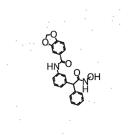 O=C(Nc1cccc(C(C(=O)NO)c2ccccc2)c1)c1ccc2c(c1)OCO2